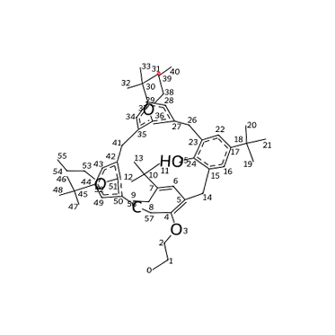 CCCO/C1=C(/C=C(\CC)C(C)(C)C)Cc2cc(C(C)(C)C)cc(c2O)Cc2cc(C(C)(C)C)cc(c2OCCC)Cc2cc(C(C)(C)C)cc(c2OCCC)CC1